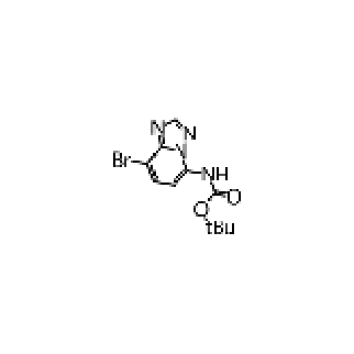 CC(C)(C)OC(=O)Nc1ccc(Br)c2ncnn12